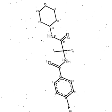 CC(C)(NC(=O)c1ccc(F)cc1)C(=O)NC1CCCCC1